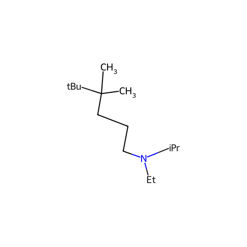 CCN(CCCC(C)(C)C(C)(C)C)C(C)C